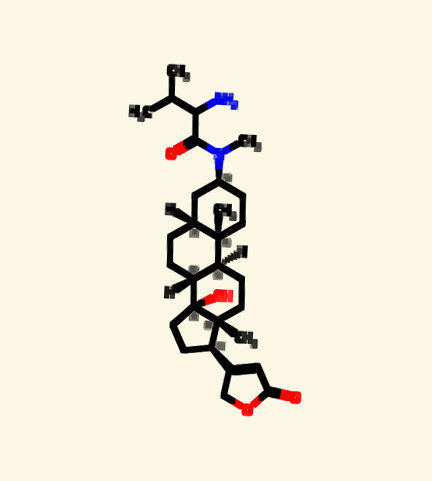 CC(C)C(N)C(=O)N(C)[C@H]1CC[C@@]2(C)[C@H](CC[C@@H]3[C@@H]2CC[C@]2(C)[C@@H](C4=CC(=O)OC4)CC[C@]32O)C1